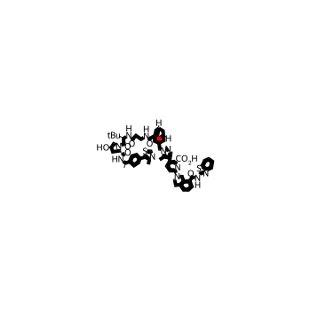 Cc1ncsc1-c1ccc([C@H](C)NC(=O)[C@@H]2C[C@@H](O)CN2C(=O)[C@@H](NC(=O)CCNC(=O)C23C[C@H]4C[C@@H](CC(Cn5ncc(-c6ccc(N7CCc8cccc(C(=O)Nc9nc%10ccccc%10s9)c8C7)nc6C(=O)O)c5C)(C4)C2)C3)C(C)(C)C)cc1